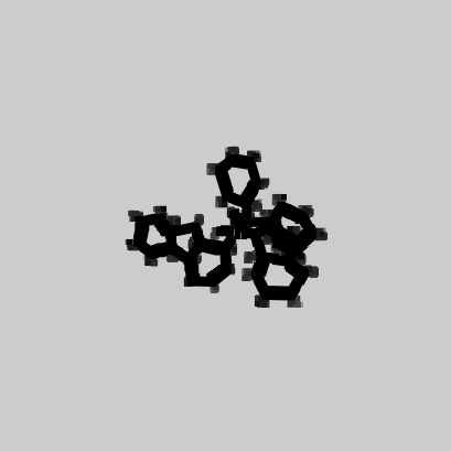 [CH3][Ti]([CH3])([c]1cccc2c1Cc1ccccc1-2)([CH]1C=Cc2ccccc21)=[Si](c1ccccc1)c1ccccc1